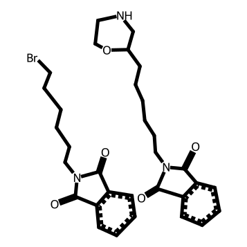 O=C1c2ccccc2C(=O)N1CCCCCCBr.O=C1c2ccccc2C(=O)N1CCCCCCC1CNCCO1